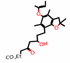 CC=C(C)Oc1c(C)c(CCC(O)CC(=O)CC(=O)OCC)c2c(c1C)CC(C)(C)O2